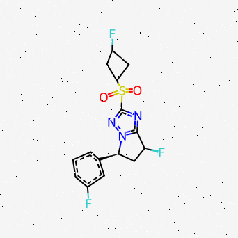 O=S(=O)(c1nc2n(n1)[C@H](c1cccc(F)c1)C[C@@H]2F)C1CC(F)C1